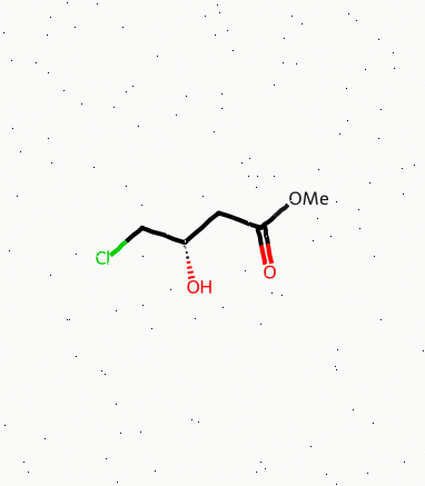 COC(=O)C[C@H](O)CCl